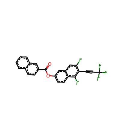 O=C(Oc1ccc2c(F)c(C#CC(F)(F)F)c(F)cc2c1)c1ccc2ccccc2c1